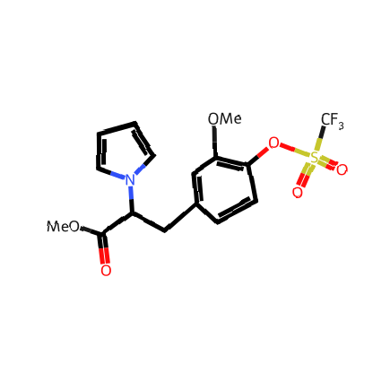 COC(=O)C(Cc1ccc(OS(=O)(=O)C(F)(F)F)c(OC)c1)n1cccc1